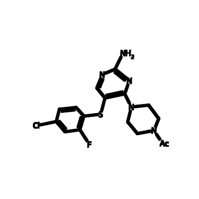 CC(=O)N1CCN(c2nc(N)ncc2Sc2ccc(Cl)cc2F)CC1